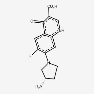 N[C@H]1CCN(c2cc3[nH]cc(C(=O)O)c(=O)c3cc2F)C1